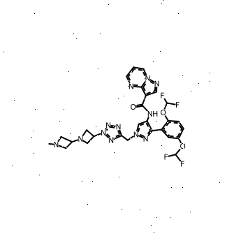 CN1CC(N2CC(n3nnc(Cn4cc(NC(=O)c5cnn6cccnc56)c(-c5cc(OC(F)F)ccc5OC(F)F)n4)n3)C2)C1